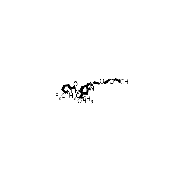 C#CCOCCOCCn1cc2cc(NC(=O)c3cccc(C(F)(F)F)n3)c(C(C)(C)O)cc2n1